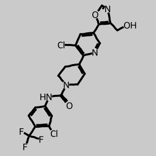 O=C(Nc1ccc(C(F)(F)F)c(Cl)c1)N1CC=C(c2ncc(-c3ocnc3CO)cc2Cl)CC1